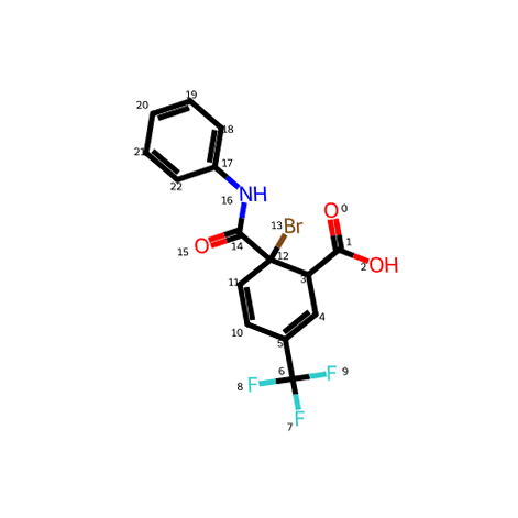 O=C(O)C1C=C(C(F)(F)F)C=CC1(Br)C(=O)Nc1ccccc1